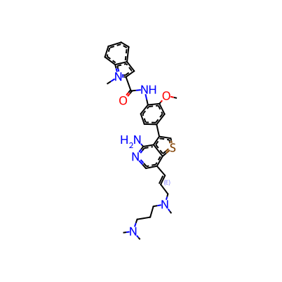 COc1cc(-c2csc3c(/C=C/CN(C)CCCN(C)C)cnc(N)c23)ccc1NC(=O)c1cc2ccccc2n1C